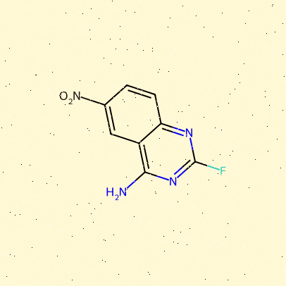 Nc1nc(F)nc2ccc([N+](=O)[O-])cc12